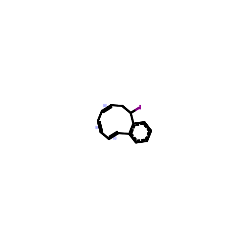 IC1C\C=C/C=C\C=C\c2ccccc21